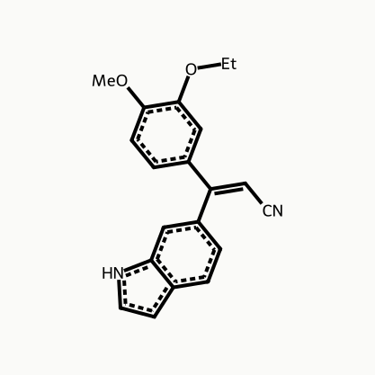 CCOc1cc(/C(=C/C#N)c2ccc3cc[nH]c3c2)ccc1OC